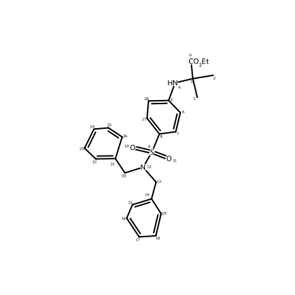 CCOC(=O)C(C)(C)Nc1ccc(S(=O)(=O)N(Cc2ccccc2)Cc2ccccc2)cc1